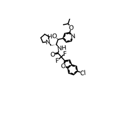 CC(C)Oc1cc([C@@H](O)[C@@H](CN2CCCC2)NC(=O)C(F)(F)c2cc3cc(Cl)ccc3o2)ccn1